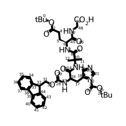 CC(C)(C)OC(=O)CC[C@H](NC(=O)C(C)(C)NC(=O)C(Cc1cncn1C(=O)OC(C)(C)C)NC(=O)OCC1c2ccccc2-c2ccccc21)C(=O)NCC(=O)O